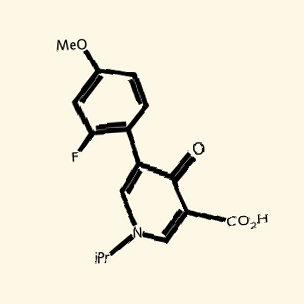 COc1ccc(-c2cn(C(C)C)cc(C(=O)O)c2=O)c(F)c1